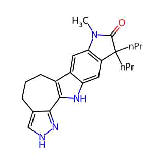 CCCC1(CCC)C(=O)N(C)c2cc3c4c([nH]c3cc21)-c1n[nH]cc1CCC4